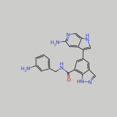 Nc1cccc(CNC(=O)c2cc(-c3c[nH]c4cnc(N)cc34)cc3cn[nH]c23)c1